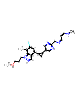 C=N/C=C\C=N/Cc1ncc(C2CC2c2cc(F)c(C)c3c2cnn3CCCOC)cn1